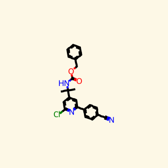 CC(C)(NC(=O)OCc1ccccc1)c1cc(Cl)nc(-c2ccc(C#N)cc2)c1